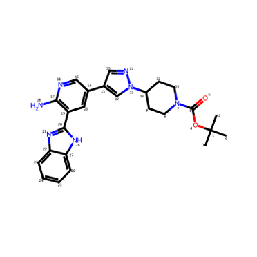 CC(C)(C)OC(=O)N1CCC(n2cc(-c3cnc(N)c(-c4nc5ccccc5[nH]4)c3)cn2)CC1